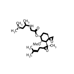 CO[C@@H]1[C@H](OC(=O)CNC(C)CN(C)C)CC[C@]2(CO2)[C@H]1[C@@]1(C)OC1CC=C(C)C